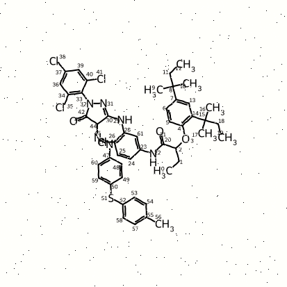 CCC(Oc1ccc(C(C)(C)CC)cc1C(C)(C)CC)C(=O)Nc1ccc(Cl)c(NC2=NN(c3c(Cl)cc(Cl)cc3Cl)C(=O)C2N=Nc2ccc(Sc3ccc(C)cc3)cc2)c1